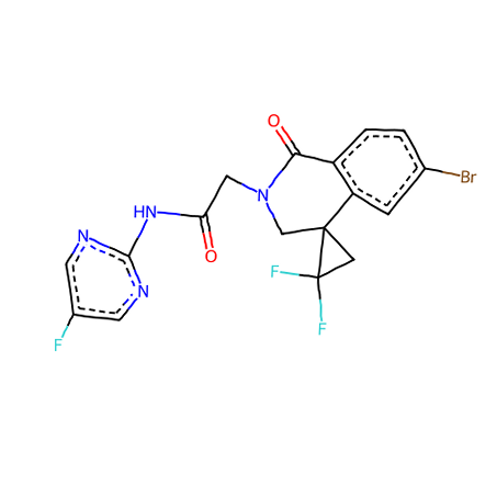 O=C(CN1CC2(CC2(F)F)c2cc(Br)ccc2C1=O)Nc1ncc(F)cn1